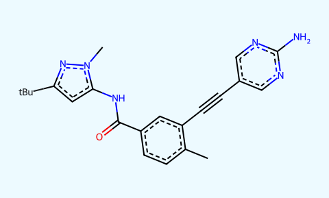 Cc1ccc(C(=O)Nc2cc(C(C)(C)C)nn2C)cc1C#Cc1cnc(N)nc1